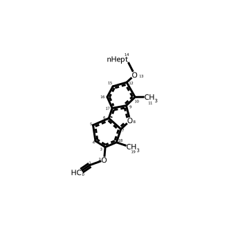 C#COc1ccc2c(oc3c(C)c(OCCCCCCC)ccc32)c1C